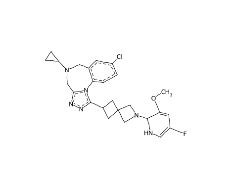 COC1=CC(F)=CNC1N1CC2(CC(c3nnc4n3-c3ccc(Cl)cc3CN(C3CC3)C4)C2)C1